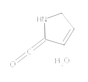 O.O=C=C1C=CCN1